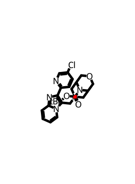 CC(C)(C)OC(=O)N1C2COCC1CN(Cc1c(-c3ccc(Cl)cn3)nc3ccccn13)C2